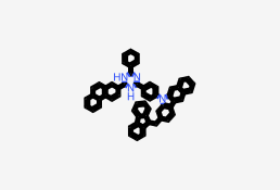 C1=CC2C=CC3=C(C=CC(C4NC(c5ccc(-n6c7c(c8cc9ccccc9cc86)C=CC(CC6c8ccccc8-c8ccccc86)C7)cc5)=NC(C5=CCCC=C5)N4)C3)C2C=C1